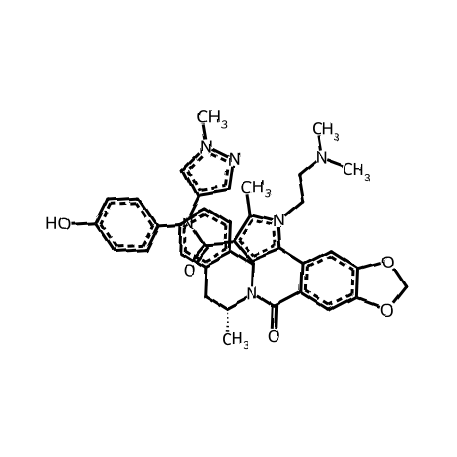 Cc1c(C(=O)N(c2ccc(O)cc2)c2cnn(C)c2)cc(-c2cc3c(cc2C(=O)N2Cc4ccccc4C[C@H]2C)OCO3)n1CCN(C)C